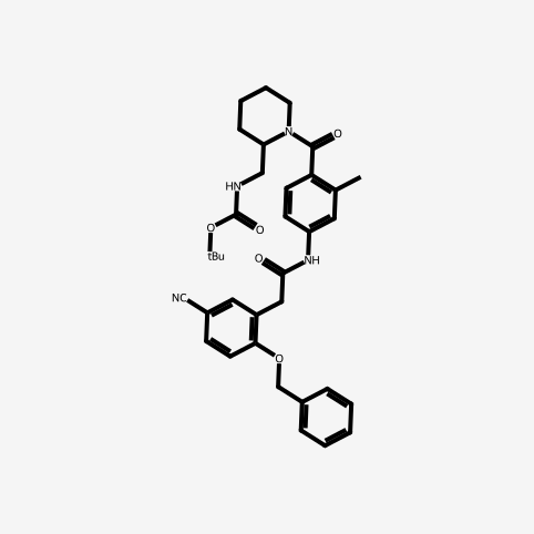 Cc1cc(NC(=O)Cc2cc(C#N)ccc2OCc2ccccc2)ccc1C(=O)N1CCCCC1CNC(=O)OC(C)(C)C